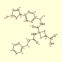 CC(NC(=O)C1(NC(=O)OCc2ccccc2)CN(C(=O)O)C1)c1ccc(-n2cc(F)cn2)nc1